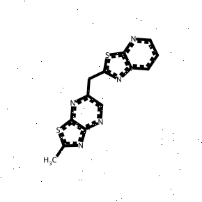 Cc1nc2ncc(Cc3nc4cccnc4s3)nc2s1